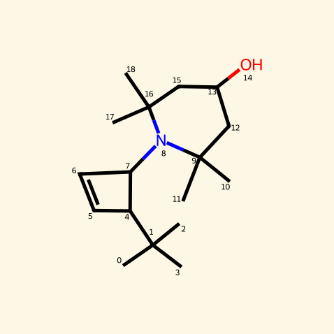 CC(C)(C)C1C=CC1N1C(C)(C)CC(O)CC1(C)C